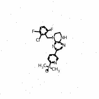 CP(C)(=O)c1ccc(-c2cnc3c(n2)N(Cc2c(F)ccc(F)c2Cl)CCN3)cn1